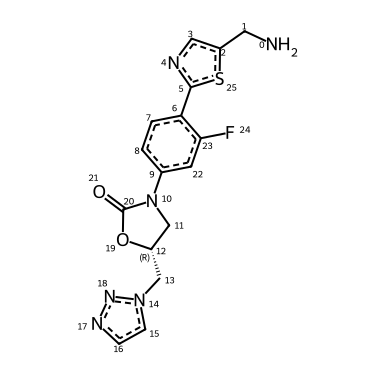 NCc1cnc(-c2ccc(N3C[C@H](Cn4ccnn4)OC3=O)cc2F)s1